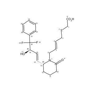 O=C(O)CSCC=CCN1C(=O)CCC[C@@H]1C=C[C@@H](O)C(F)(F)c1ccccc1